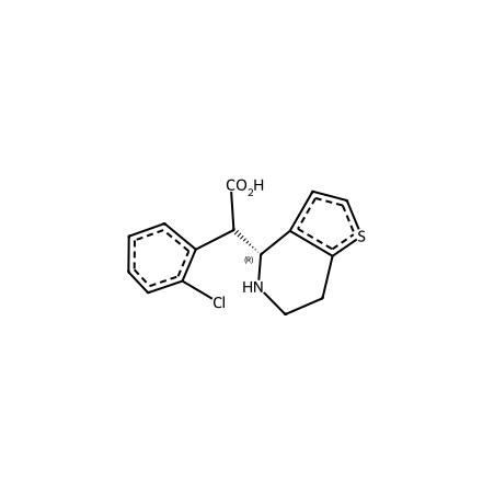 O=C(O)C(c1ccccc1Cl)[C@H]1NCCc2sccc21